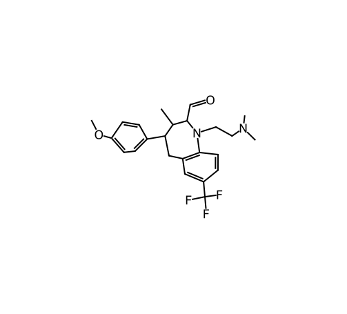 COc1ccc(C2Cc3cc(C(F)(F)F)ccc3N(CCN(C)C)C(C=O)C2C)cc1